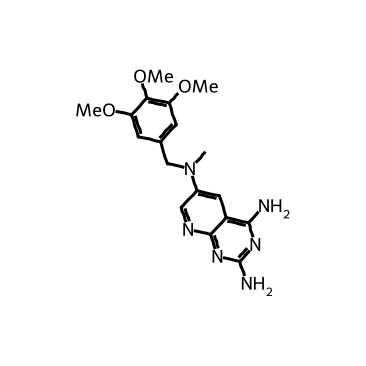 COc1cc(CN(C)c2cnc3nc(N)nc(N)c3c2)cc(OC)c1OC